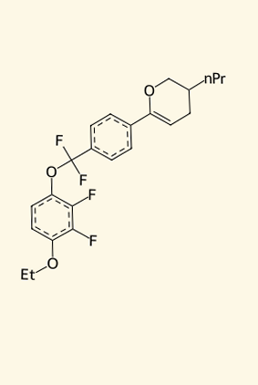 CCCC1CC=C(c2ccc(C(F)(F)Oc3ccc(OCC)c(F)c3F)cc2)OC1